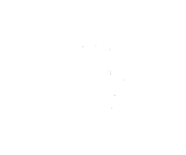 CCCC(C)(C)C1CC2(CCN(C(=O)CNC(=O)OC)CC2)C(=O)O1